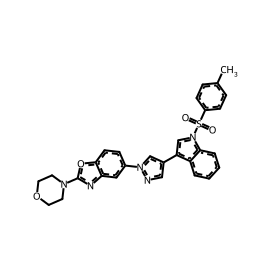 Cc1ccc(S(=O)(=O)n2cc(-c3cnn(-c4ccc5oc(N6CCOCC6)nc5c4)c3)c3ccccc32)cc1